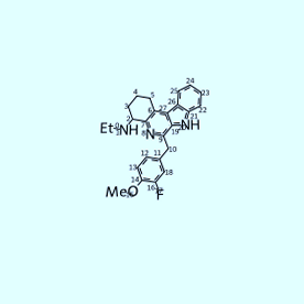 CCNC1CCCc2c1nc(Cc1ccc(OC)c(F)c1)c1[nH]c3ccccc3c21